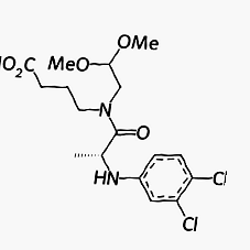 COC(CN(CCCC(=O)O)C(=O)[C@@H](C)Nc1ccc(Cl)c(Cl)c1)OC